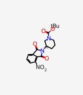 CC(C)(C)OC(=O)N1CCC[C@@H](N2C(=O)c3cccc([N+](=O)[O-])c3C2=O)C1